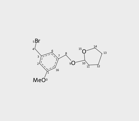 COc1cc(CBr)cc(COC2CCCCO2)c1